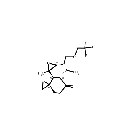 CO[C@@H]1C(=O)CC[C@]2(CO2)[C@H]1C1(C)O[C@@H]1CCOCC(F)(F)F